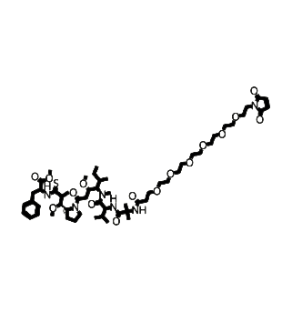 CCC(C)C(C(CC(=O)N1CCC[C@H]1C(OC)C(C)C(=S)NC(Cc1ccccc1)C(=O)OC)OC)N(C)C(=O)C(NC(=O)C(C)(C)NC(=O)CCOCCOCCOCCOCCOCCOCCN1C(=O)C=CC1=O)C(C)C